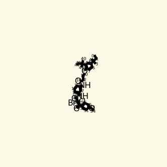 CCC(C)(C)c1ccc(OCCCC(=O)Nc2cccc(NC(=O)C(Cl)(Br)C(=O)c3ccc(OC)cc3)c2)c(C(C)(C)CC)c1